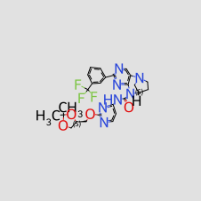 CC1(C)OC[C@H](COc2nccc(NC(=O)N3c4nc(-c5cccc(C(F)(F)F)c5)ncc4N4CC[C@H]3C4)n2)O1